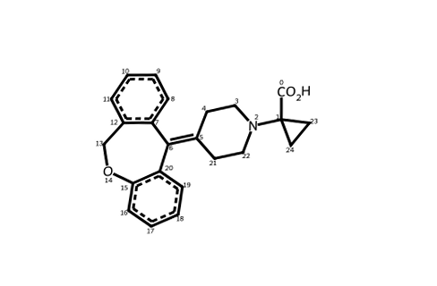 O=C(O)C1(N2CCC(=C3c4ccccc4COc4ccccc43)CC2)CC1